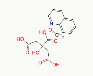 C=O.O=C(O)CC(O)(CC(=O)O)C(=O)O.c1ccc2ncccc2c1